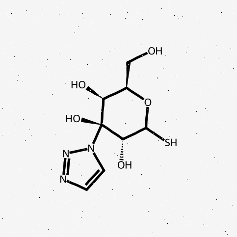 OC[C@H]1OC(S)[C@H](O)[C@](O)(n2ccnn2)[C@H]1O